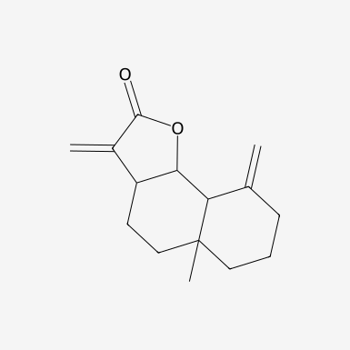 C=C1C(=O)OC2C1CCC1(C)CCCC(=C)C21